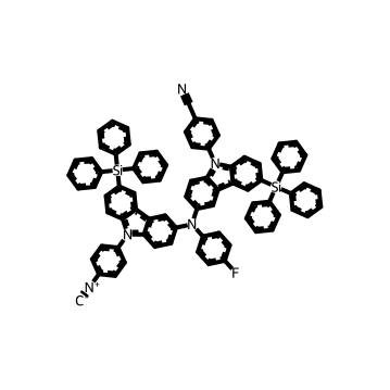 [C-]#[N+]c1ccc(-n2c3ccc(N(c4ccc(F)cc4)c4ccc5c(c4)c4cc([Si](c6ccccc6)(c6ccccc6)c6ccccc6)ccc4n5-c4ccc(C#N)cc4)cc3c3cc([Si](c4ccccc4)(c4ccccc4)c4ccccc4)ccc32)cc1